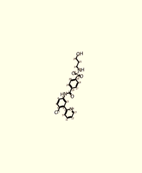 O=C(Nc1ccc(Cl)c(-c2ccccn2)c1)c1ccc(S(=O)(=O)NCCCO)cc1